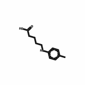 Cc1ccc(NCCCCC(=O)O)cc1